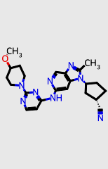 COC1CCN(c2nccc(Nc3cc4c(cn3)nc(C)n4[C@H]3CC[C@H](C#N)C3)n2)CC1